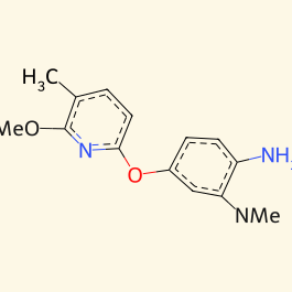 CNc1cc(Oc2ccc(C)c(OC)n2)ccc1N